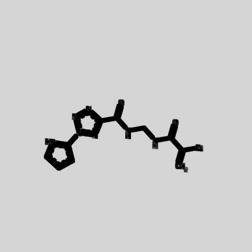 C=C(CC)C(=O)NCNC(=O)c1nnn(-c2ccc[nH]2)n1